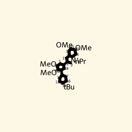 CCC[n+]1cc(-c2cc(OC)c(OC)c(-c3ccc(C(C)(C)C)cc3)c2)cc2cc(OC)c(OC)cc21